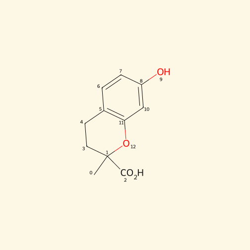 CC1(C(=O)O)CCc2ccc(O)cc2O1